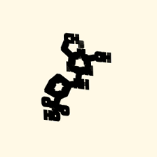 CCc1nc(O)nc(Nc2cccc(S(=O)(=O)O)c2)n1